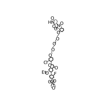 CCOc1cc2oc(-c3ccc(OCCOCCOCCOCCOc4cccc5c4C(=O)N(C4CCC(=O)NC4=O)C5=O)cc3Cl)cc(=O)c2cc1-c1ccc(S(=O)(=O)N2CCOCC2)cc1F